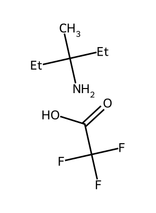 CCC(C)(N)CC.O=C(O)C(F)(F)F